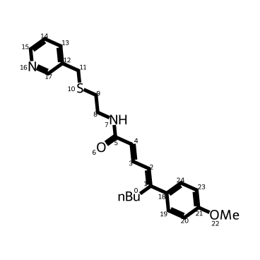 CCCC/C(=C\C=C\C(=O)NCCSCc1cccnc1)c1ccc(OC)cc1